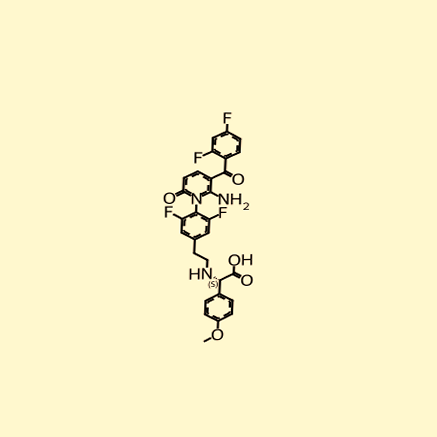 COc1ccc([C@H](NCCc2cc(F)c(-n3c(N)c(C(=O)c4ccc(F)cc4F)ccc3=O)c(F)c2)C(=O)O)cc1